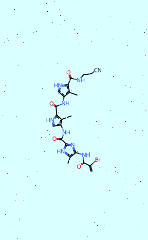 C=C(Br)C(=O)Nc1nc(C(=O)Nc2c[nH]c(C(=O)Nc3c[nH]c(C(=O)NCCC#N)c3C)c2C)[nH]c1C